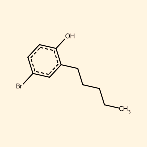 CCCCCc1cc(Br)ccc1O